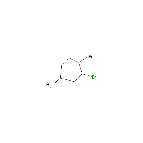 CC1CCC(C(C)C)C(Br)C1